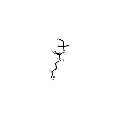 CCC(C)(C)OC(=O)NCCCO